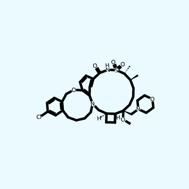 CO[C@@]1(CN2CCOCC2)CCC[C@H](C)[C@@H](C)S(=O)(=O)NC(=O)c2ccc3c(c2)N(CCCCc2cc(Cl)ccc2CO3)C[C@@H]2CC[C@H]21